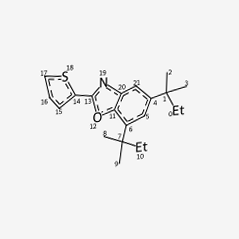 CCC(C)(C)c1cc(C(C)(C)CC)c2oc(-c3cccs3)nc2c1